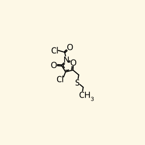 CCSCc1on(C(=O)Cl)c(=O)c1Cl